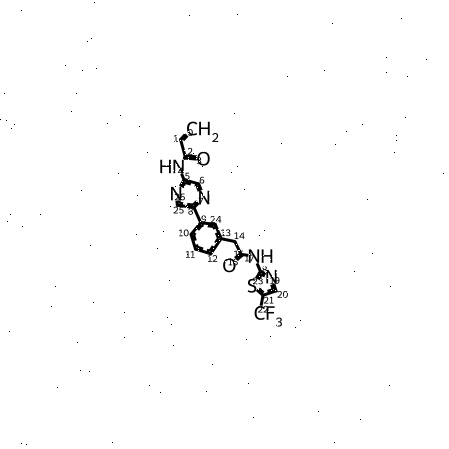 C=CC(=O)Nc1cnc(-c2cccc(CC(=O)Nc3ncc(C(F)(F)F)s3)c2)cn1